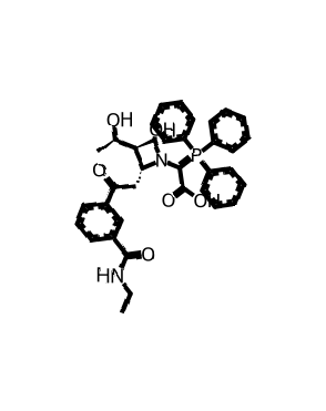 CCNC(=O)c1cccc(C(=O)C[C@@H]2[C@@H]([C@@H](C)O)C(O)N2C(C(=O)O)=P(c2ccccc2)(c2ccccc2)c2ccccc2)c1